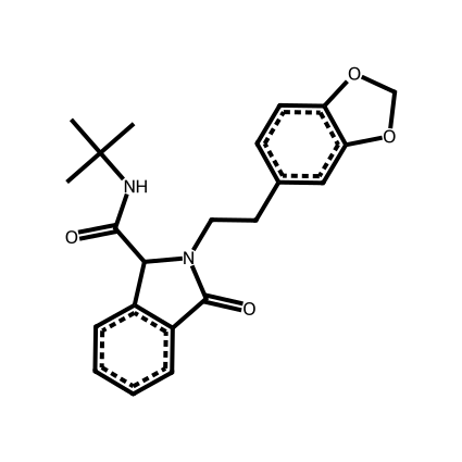 CC(C)(C)NC(=O)C1c2ccccc2C(=O)N1CCc1ccc2c(c1)OCO2